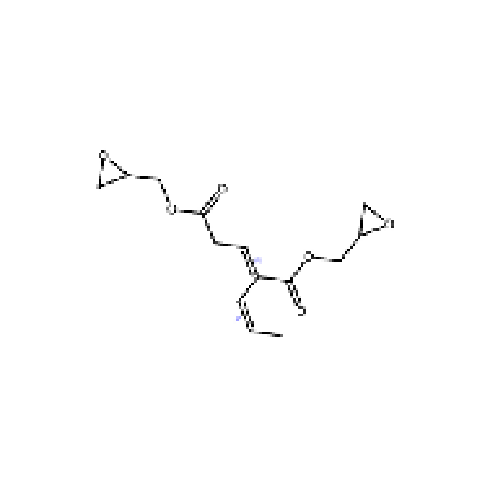 C/C=C\C(=C/CC(=O)OCC1CO1)C(=O)OCC1CO1